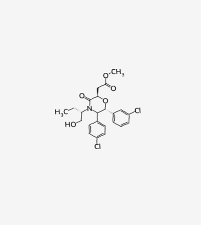 CC[C@@H](CO)N1C(=O)[C@@H](CC(=O)OC)O[C@H](c2cccc(Cl)c2)C1c1ccc(Cl)cc1